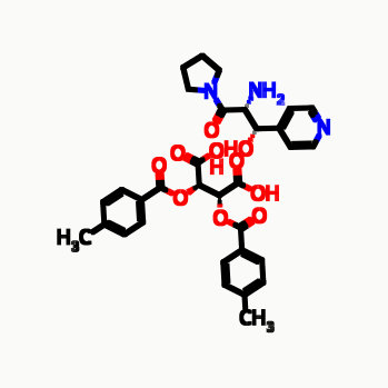 Cc1ccc(C(=O)O[C@@H](C(=O)O)[C@@H](OC(=O)c2ccc(C)cc2)C(=O)O)cc1.N[C@@H](C(=O)N1CCCC1)[C@@H](O)c1ccncc1